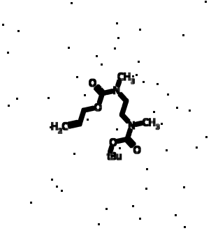 C=CCOC(=O)N(C)CCN(C)C(=O)OC(C)(C)C